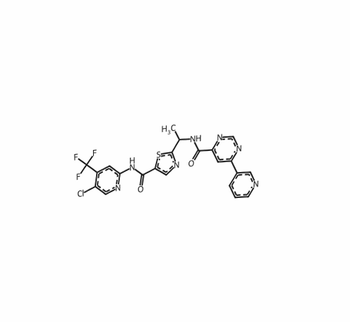 CC(NC(=O)c1cc(-c2cccnc2)ncn1)c1ncc(C(=O)Nc2cc(C(F)(F)F)c(Cl)cn2)s1